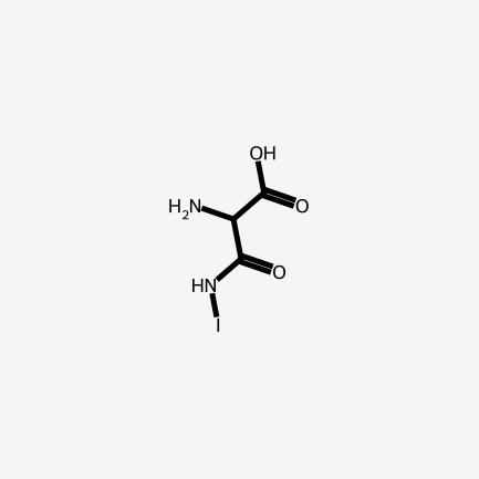 NC(C(=O)O)C(=O)NI